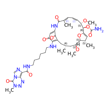 CO[C@H]1/C=C\C=C(/C)C(=O)NC2=CC(=O)C(NCCCCCCNC(=O)c3ncn4c(=O)n(C)nnc34)=C(C[C@@H](C)C[C@H](OC)[C@H]3OC(=C[C@@H]3C)[C@@H]1OC(N)=O)C2=O